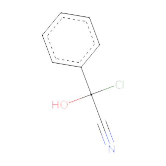 N#CC(O)(Cl)c1ccccc1